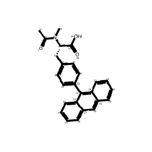 CC(=O)N(C)[C@@H](Cc1ccc(-c2c3ccccc3cc3ccccc23)cc1)C(=O)O